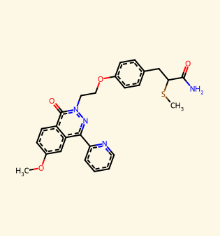 COc1ccc2c(=O)n(CCOc3ccc(CC(SC)C(N)=O)cc3)nc(-c3ccccn3)c2c1